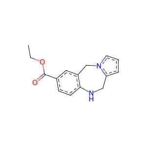 CCOC(=O)c1ccc2c(c1)Cn1cccc1CN2